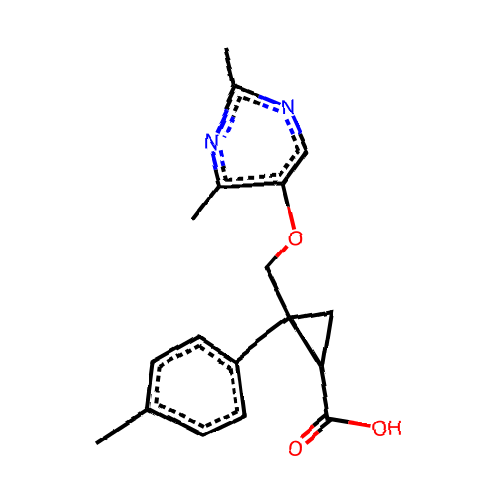 Cc1ccc(C2(COc3cnc(C)nc3C)CC2C(=O)O)cc1